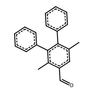 Cc1cc(C=O)c(C)c(-c2ccccc2)c1-c1ccccc1